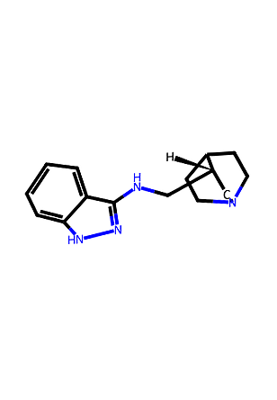 c1ccc2c(NC[C@H]3CN4CCC3CC4)n[nH]c2c1